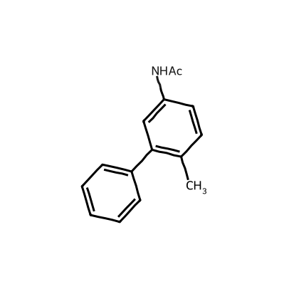 CC(=O)Nc1ccc(C)c(-c2ccccc2)c1